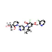 Cc1cnc(-n2cccc(C(C)(C)O)c2=O)cc1-n1c(C)cc(OCc2ncccc2Cl)c(Cl)c1=O